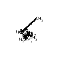 CCCCCCCCCCCCCCCCOCCCOP(=O)(O)COC[C@H]1O[C@@H](n2cc(C(N)=O)c3c(N)nc(C)nc32)[C@@H]2OC(C)(C)O[C@@H]21